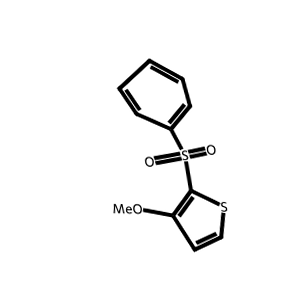 COc1ccsc1S(=O)(=O)c1ccccc1